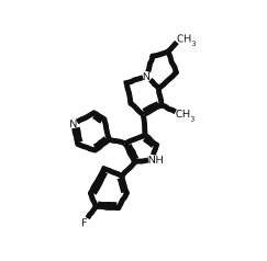 CC1=C(c2c[nH]c(-c3ccc(F)cc3)c2-c2ccncc2)CCN2CC(C)CC12